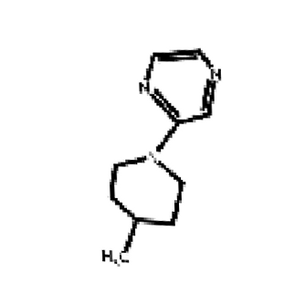 C[C]1CCN(c2cnccn2)CC1